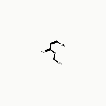 C=C(/C=C\C)NCC